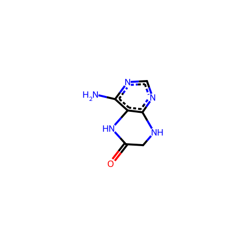 Nc1ncnc2c1NC(=O)CN2